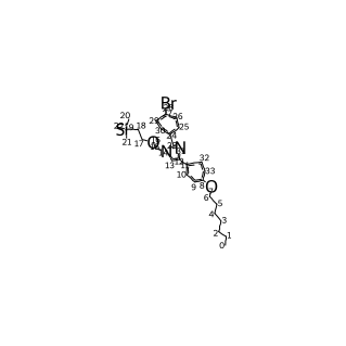 CCCCCCCOc1ccc(-c2cn(COCC[Si](C)(C)C)c(-c3ccc(Br)cc3)n2)cc1